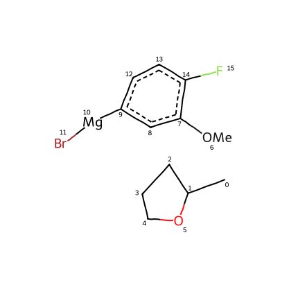 CC1CCCO1.COc1c[c]([Mg][Br])ccc1F